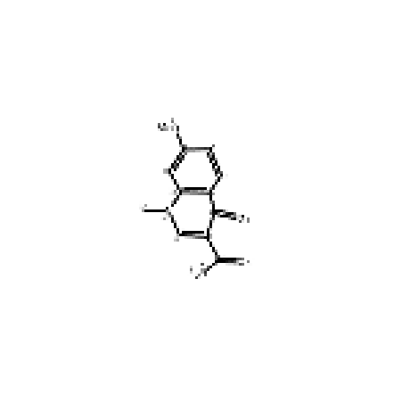 COc1ccc2c(=O)c(C(N)=O)cn(C)c2c1